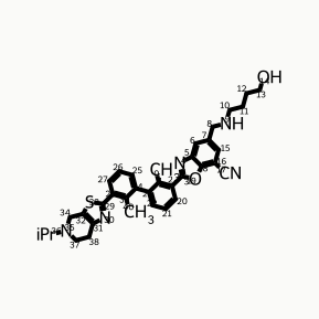 Cc1c(-c2nc3cc(CNCCCCO)cc(C#N)c3o2)cccc1-c1cccc(-c2nc3c(s2)CN(C(C)C)CC3)c1C